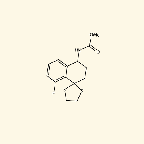 COC(=O)NC1CCC2(SCCS2)c2c(F)cccc21